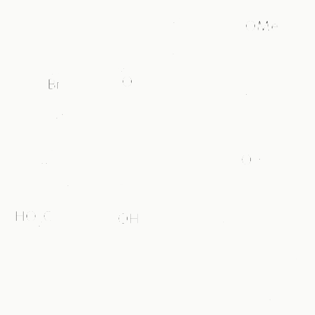 COc1cc(OCc2ccccc2)cc(Oc2c(C)c(O)c(C(=O)O)c(C)c2Br)c1C